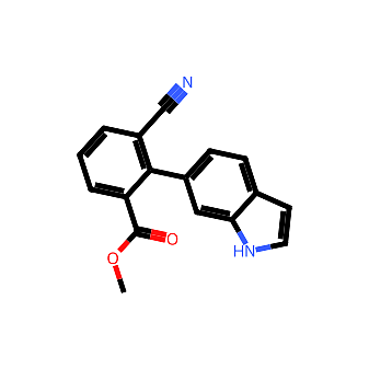 COC(=O)c1cccc(C#N)c1-c1ccc2cc[nH]c2c1